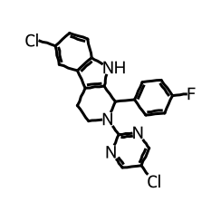 Fc1ccc(C2c3[nH]c4ccc(Cl)cc4c3CCN2c2ncc(Cl)cn2)cc1